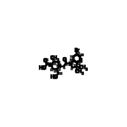 C[C@@H]1CN(CC(=O)N2CC(C)(C)c3ncc(Br)cc32)[C@@H](CO)CN1C(=O)O